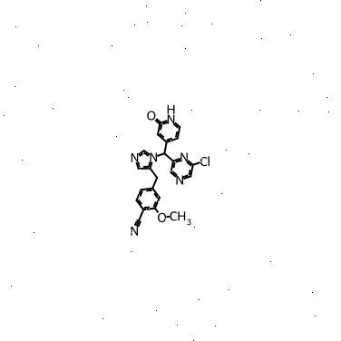 COc1cc(Cc2cncn2C(c2cc[nH]c(=O)c2)c2cncc(Cl)n2)ccc1C#N